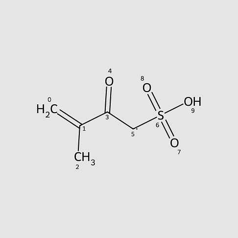 C=C(C)C(=O)[CH]S(=O)(=O)O